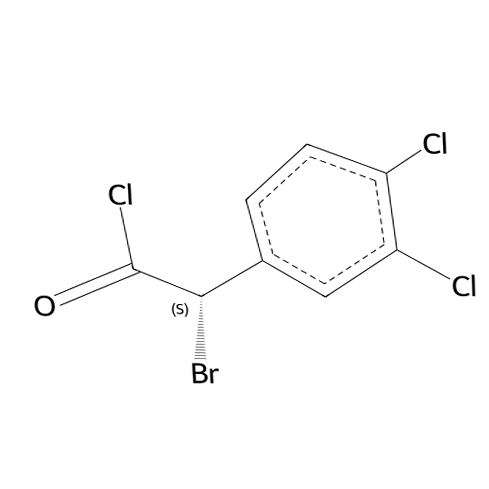 O=C(Cl)[C@@H](Br)c1ccc(Cl)c(Cl)c1